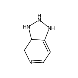 C1=NCC2NNNC2=C1